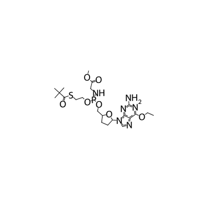 CCOc1nc(N)nc2c1ncn2C1CCC(COP(NCC(=O)OC)OCCSC(=O)C(C)(C)C)O1